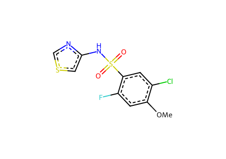 COc1cc(F)c(S(=O)(=O)Nc2cscn2)cc1Cl